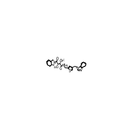 O=C(NCc1cc(Cn2cnc3ccccc32)cs1)[C@H](O)[C@@H](O)C(=O)N1Cc2ccccc2C1